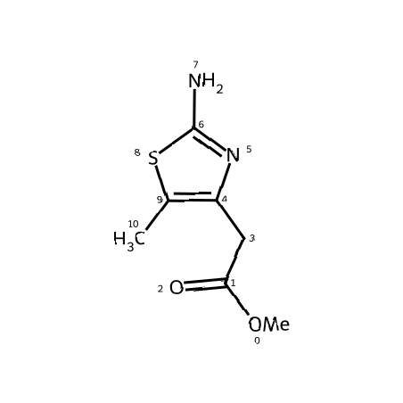 COC(=O)Cc1nc(N)sc1C